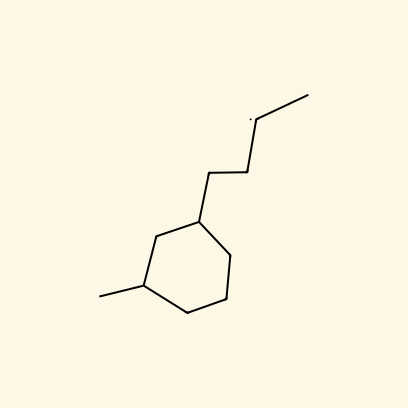 C[CH]CCC1CCCC(C)C1